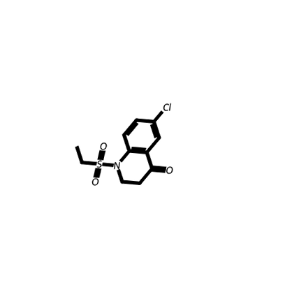 CCS(=O)(=O)N1CCC(=O)c2cc(Cl)ccc21